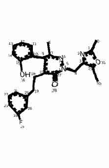 Cc1nc(Cn2nc(C)c(-c3ccccc3O)c(CCc3cccc(F)c3)c2=O)c(C)o1